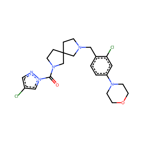 O=C(N1CCC2(CCN(Cc3ccc(N4CCOCC4)cc3Cl)C2)C1)n1cc(Cl)cn1